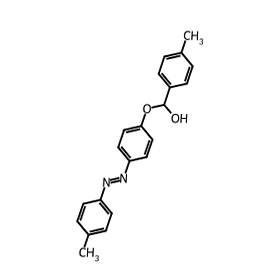 Cc1ccc(/N=N/c2ccc(OC(O)c3ccc(C)cc3)cc2)cc1